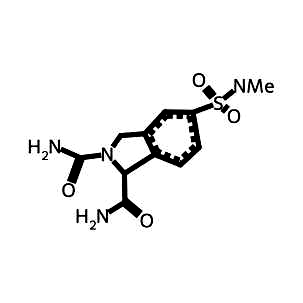 CNS(=O)(=O)c1ccc2c(c1)CN(C(N)=O)C2C(N)=O